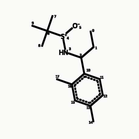 CCC(N[S+]([O-])C(C)(C)C)c1ccc(C)cc1C